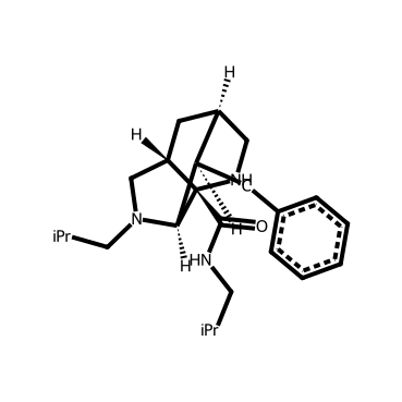 CC(C)CNC(=O)[C@]12NC[C@@H]3C[C@H]1CN(CC(C)C)[C@H]2[C@@H]3Cc1ccccc1